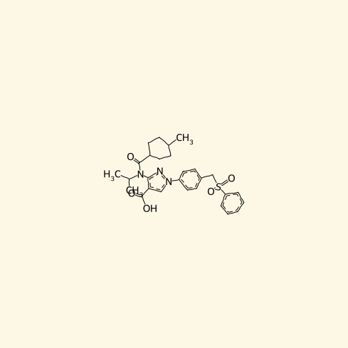 CC1CCC(C(=O)N(c2nn(-c3ccc(CS(=O)(=O)c4ccccc4)cc3)cc2C(=O)O)C(C)C)CC1